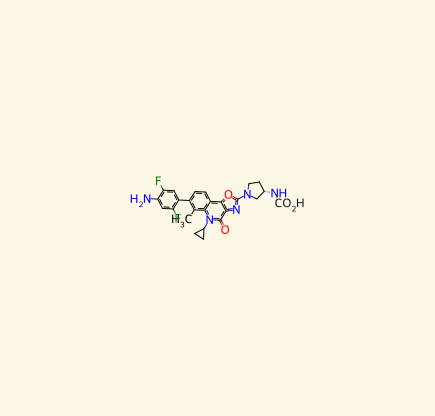 Cc1c(-c2cc(F)c(N)cc2F)ccc2c3oc(N4CC[C@H](NC(=O)O)C4)nc3c(=O)n(C3CC3)c12